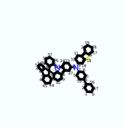 c1ccc(-c2ccc(N(c3ccc4c(c3)sc3ccccc34)c3ccc4c(c3)c3cccc5c3n4-c3ccccc3C53c4ccccc4-c4ccccc43)cc2)cc1